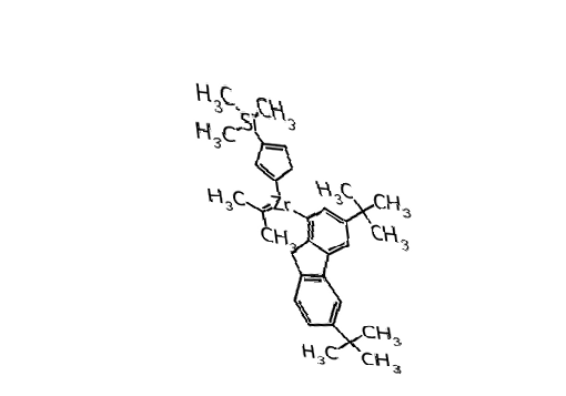 C[C](C)=[Zr]([C]1=CC([Si](C)(C)C)=CC1)[c]1cc(C(C)(C)C)cc2c1Cc1ccc(C(C)(C)C)cc1-2